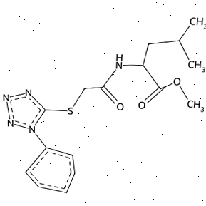 COC(=O)C(CC(C)C)NC(=O)CSc1nnnn1-c1ccccc1